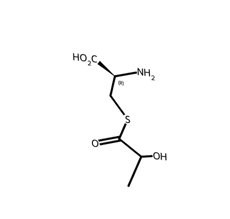 CC(O)C(=O)SC[C@H](N)C(=O)O